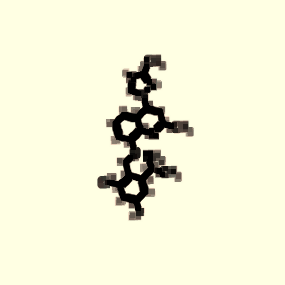 Cc1cc(-n2cnc(C)n2)c2cccc(OCc3c(Cl)cc(F)cc3[C@H](C)N)c2n1